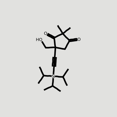 CC(C)[Si](C#CC1(CO)CC(=O)C(C)(C)C1=O)(C(C)C)C(C)C